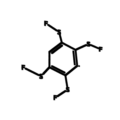 FSc1[c]c(SF)c(SF)cc1SF